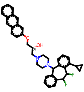 O[C@@H](COc1ccc2cc3ccccc3cc2c1)CN1CCN(C2c3ccccc3C(F)C(F)c3c(C4CC4)cccc32)CC1